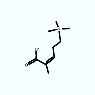 CC(=CCC[N+](C)(C)C)C(=O)[O-]